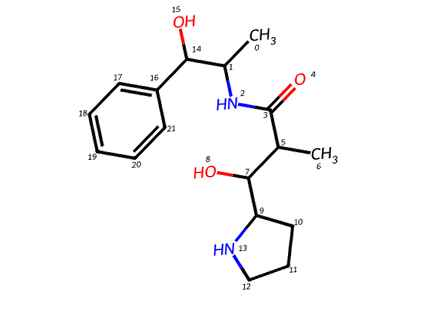 CC(NC(=O)C(C)C(O)C1CCCN1)C(O)c1ccccc1